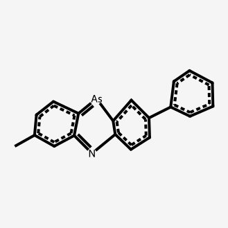 Cc1ccc2c(c1)=Nc1ccc(-c3ccccc3)cc1[As]=2